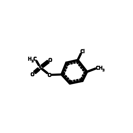 Cc1ccc(OS(C)(=O)=O)cc1Cl